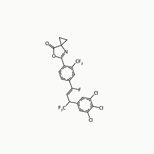 O=C1OC(c2ccc(C(F)=CC(c3cc(Cl)c(Cl)c(Cl)c3)C(F)(F)F)cc2C(F)(F)F)=NC12CC2